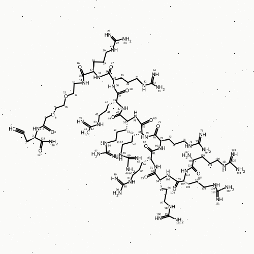 C#CC[C@@H](NC(=O)COCCOCCNC(=O)[C@@H](CCCNC(=N)N)NC(=O)[C@@H](CCCNC(=N)N)NC(=O)[C@@H](CCCNC(C)=N)NC(=O)[C@@H](CCCNC(=N)N)NC(=O)[C@@H](CCCNC(=N)N)NC(=O)[C@@H](CCCNC(=N)N)NC(=O)[C@@H](CCCNC(=N)N)NC(=O)[C@@H](CCCNC(=N)N)NC(=O)[C@@H](CCCNC(=N)N)NC(=O)[C@H](N)CCCNC(=N)N)C(N)=O